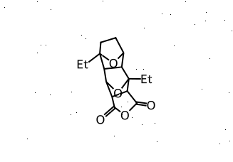 CCC12CCC(O1)C1C2C2OC1(CC)C1C(=O)OC(=O)C21